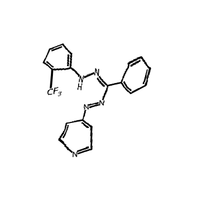 FC(F)(F)c1ccccc1NN=C(N=Nc1ccncc1)c1ccccc1